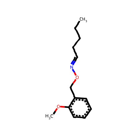 CCCCC=NOCc1ccccc1OC